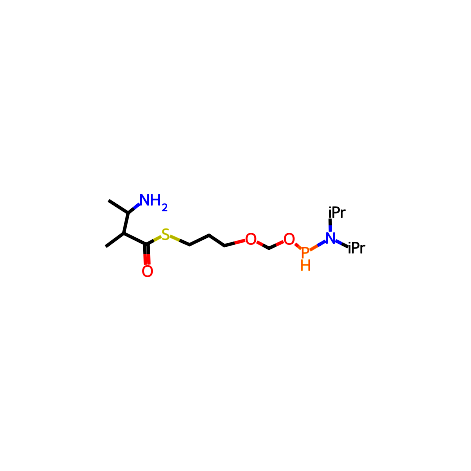 CC(N)C(C)C(=O)SCCCOCOPN(C(C)C)C(C)C